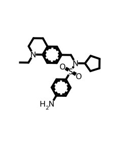 CCN1CCCc2cc(CN(C3CCCC3)S(=O)(=O)c3ccc(N)cc3)ccc21